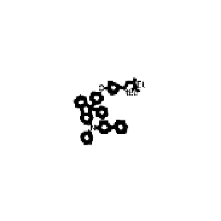 CCC(C)(C)C(C)CC(c1ccc(Oc2ccc(C3(c4ccccc4)c4ccccc4-c4ccc(N(c5ccccc5)c5ccc(-c6ccccc6)cc5)cc43)cc2)cc1)C(C)(C)C